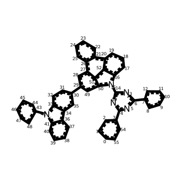 c1ccc(-c2nc(-c3ccccc3)nc(-n3c4cccc5c6ccccc6c6cc(-c7ccc8c(c7)c7ccccc7n8-c7ccccc7)cc3c6c54)n2)cc1